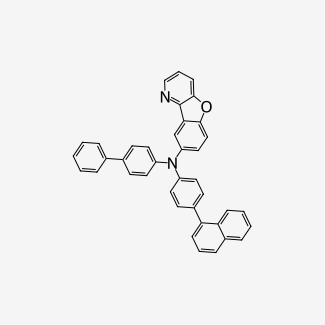 c1ccc(-c2ccc(N(c3ccc(-c4cccc5ccccc45)cc3)c3ccc4oc5cccnc5c4c3)cc2)cc1